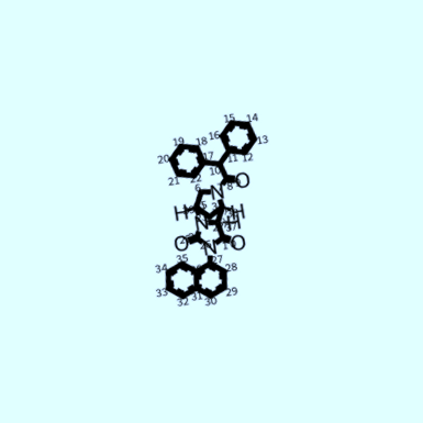 O=C1[C@@H]2[C@@H]3C[C@@H](CN3C(=O)C(c3ccccc3)c3ccccc3)N2C(=O)N1c1cccc2ccccc12